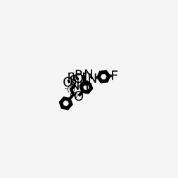 CCCS(=O)(=O)N[C@@H](C)[C@H](Oc1ccc2c(cnn2-c2ccc(F)cc2)c1)c1ccccc1